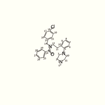 CN1CCN(c2ccccc2CCN(Cc2ccc(Cl)cc2)C(=O)c2ccccc2)CC1